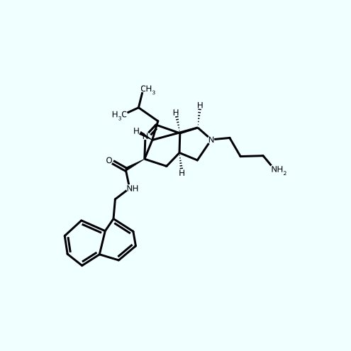 CC(C)C[C@@H]1[C@@H]2[C@@H]3C=N[C@@]1(C(=O)NCc1cccc4ccccc14)C[C@@H]3CN2CCCN